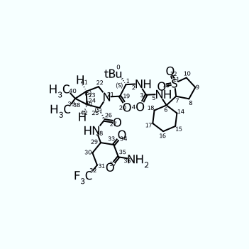 CC(C)(C)[C@H](NC(=O)NC1(C2CCCS2(=O)=O)CCCCC1)C(=O)N1C[C@H]2[C@@H]([C@H]1C(=O)NC(CCC(F)(F)F)C(=O)C(N)=O)C2(C)C